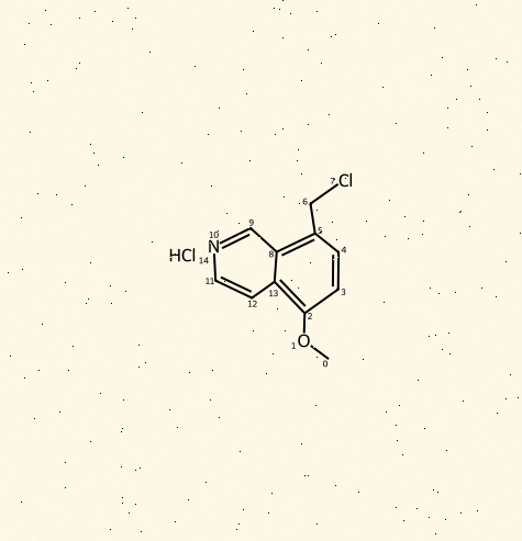 COc1ccc(CCl)c2cnccc12.Cl